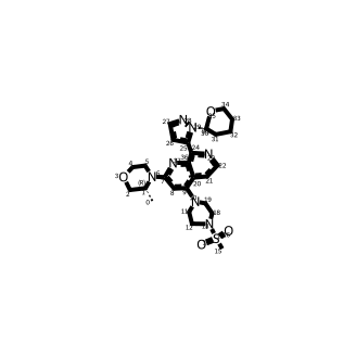 C[C@@H]1COCCN1c1cc(N2CCN(S(C)(=O)=O)CC2)c2ccnc(-c3ccnn3[C@H]3CCCCO3)c2n1